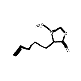 C=CCCCC1C(=O)OCN1C(=O)O